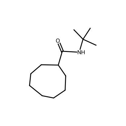 CC(C)(C)NC(=O)C1CCCCCCC1